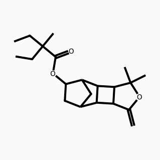 C=C1OC(C)(C)C2C1C1C3CC(OC(=O)C(C)(CC)CC)C(C3)C12